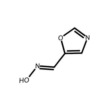 ON=Cc1cnco1